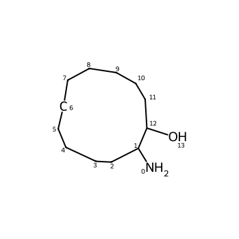 NC1CCCCCCCCCCC1O